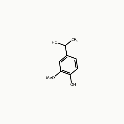 COc1cc(C(O)C(F)(F)F)ccc1O